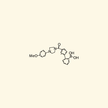 COc1ccc(N2CCN(C(=O)c3ccc(-c4ccccc4B(O)O)s3)CC2)cc1